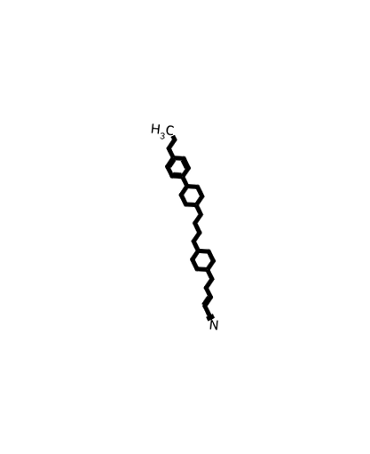 CCCc1ccc(C2CCC(CCCCC3CCC(CCC=CC#N)CC3)CC2)cc1